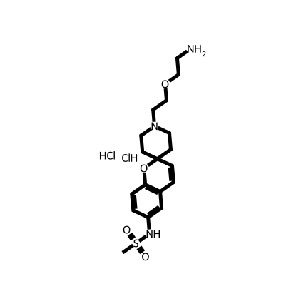 CS(=O)(=O)Nc1ccc2c(c1)C=CC1(CCN(CCOCCN)CC1)O2.Cl.Cl